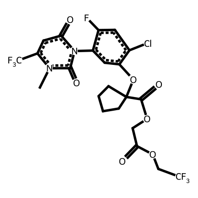 Cn1c(C(F)(F)F)cc(=O)n(-c2cc(OC3(C(=O)OCC(=O)OCC(F)(F)F)CCCC3)c(Cl)cc2F)c1=O